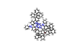 c1ccc(-n2c3ccccc3c3c2ccc2c4cc([Si](c5ccccc5)(c5ccccc5)c5ccccc5)ccc4n(-c4nc(-c5cccc([Si](c6ccccc6)(c6ccccc6)c6ccccc6)c5)nc(-n5c6ccccc6c6cc([Si](c7ccccc7)(c7ccccc7)c7ccccc7)ccc65)n4)c23)cc1